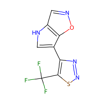 FC(F)(F)c1snnc1-c1c[nH]c2cnoc12